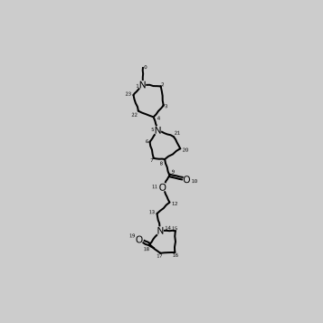 CN1CCC(N2CCC(C(=O)OCCN3CCCC3=O)CC2)CC1